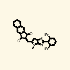 CC(C)c1cccc(C(C)C)c1-c1nc2c(cc(C=C3C(=O)c4cc5ccccc5cc4C3=O)n2C)s1